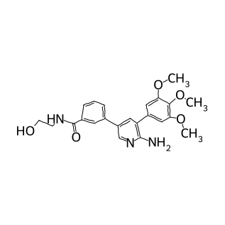 COc1cc(-c2cc(-c3cccc(C(=O)NCCO)c3)cnc2N)cc(OC)c1OC